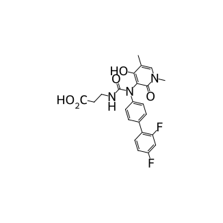 Cc1cn(C)c(=O)c(N(C(=O)NCCC(=O)O)c2ccc(-c3ccc(F)cc3F)cc2)c1O